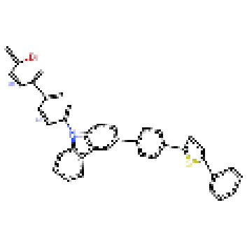 C=C(Br)/C=C\C(=C)C(=C)/C=C\C(=C)n1c2ccccc2c2cc(-c3ccc(-c4ccc(-c5ccccc5)s4)cc3)ccc21